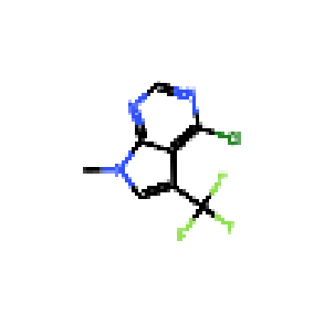 Cn1cc(C(F)(F)F)c2c(Cl)ncnc21